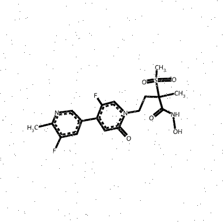 Cc1ncc(-c2cc(=O)n(CCC(C)(C(=O)NO)S(C)(=O)=O)cc2F)cc1F